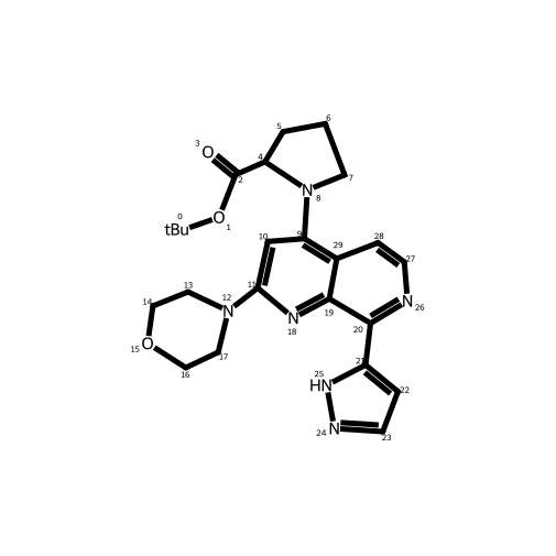 CC(C)(C)OC(=O)C1CCCN1c1cc(N2CCOCC2)nc2c(-c3ccn[nH]3)nccc12